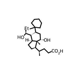 CC[C@H](O)[C@@H]1C(C2(C)CCCCC2)C[C@H](O)[C@]2(C)[C@@H]([C@H](C)CCC(=O)O)CC[C@@H]12